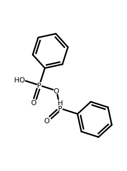 O=[PH](OP(=O)(O)c1ccccc1)c1ccccc1